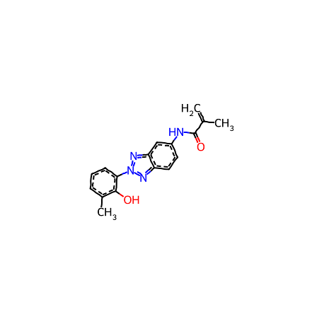 C=C(C)C(=O)Nc1ccc2nn(-c3cccc(C)c3O)nc2c1